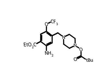 CCOC(=O)c1cc(OC(F)(F)F)c(CN2CCN(OC(=O)C(C)(C)C)CC2)cc1N